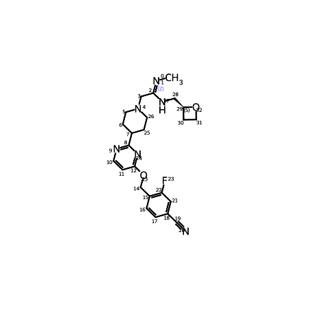 C/N=C(/CN1CCC(c2nccc(OCc3ccc(C#N)cc3F)n2)CC1)NC[C@@H]1CCO1